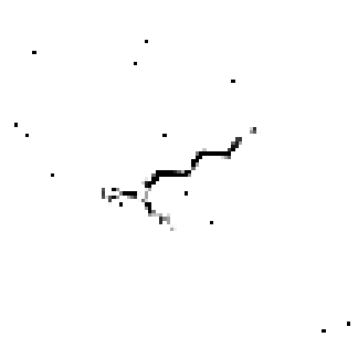 CCCCCCC[SiH](C)C